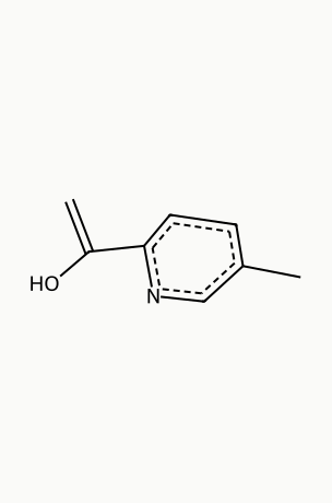 C=C(O)c1ccc(C)cn1